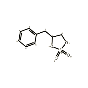 O=S1(=O)OCC(Cc2ccccc2)O1